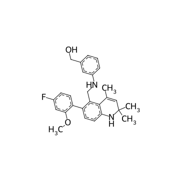 COc1cc(F)ccc1-c1ccc2c(c1CNc1cccc(CO)c1)C(C)=CC(C)(C)N2